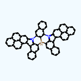 c1ccc2c3c4c(cc2c1)-n1c2cc5ccc6cccc7ccc(c5c67)c2c2c5ccccc5cc(c21)[SH]4c1cc2ccccc2c2c4c5ccc6cccc7ccc(cc4n-3c12)c5c76